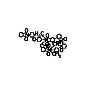 CCCC(CC)(c1ccc(Oc2cccc(N3C(=O)c4cccc(-c5ccc6c(c5)C(=O)N(C(CCC)(CCC)c5ccc(Oc7cccc(N8C(=O)c9ccccc9C8=O)c7)cc5)C6=O)c4C3=O)c2)cc1)N1C(=O)c2ccccc2C1=O